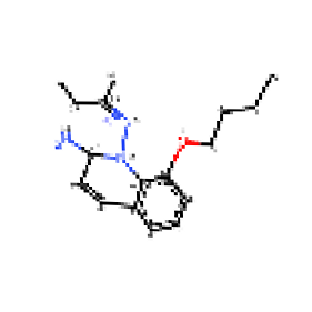 CCCCOc1cccc2c1N(/N=C(/C)CC)C(N)C=C2